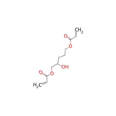 C=CC(=O)OCCCC(O)COC(=O)C=C